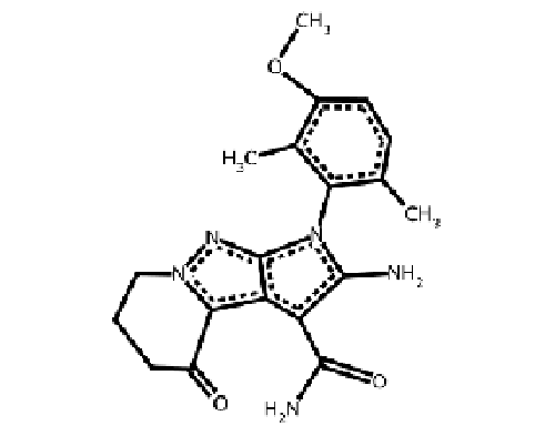 COc1ccc(C)c(-n2c(N)c(C(N)=O)c3c4n(nc32)CCCC4=O)c1C